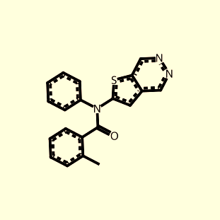 Cc1ccccc1C(=O)N(c1ccccc1)c1cc2cnncc2s1